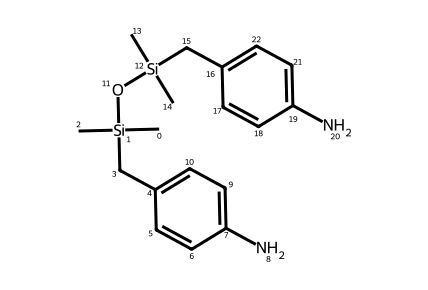 C[Si](C)(Cc1ccc(N)cc1)O[Si](C)(C)Cc1ccc(N)cc1